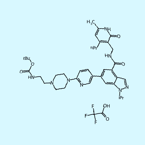 CCCc1cc(C)[nH]c(=O)c1CNC(=O)c1cc(-c2ccc(N3CCN(CCNC(=O)OC(C)(C)C)CC3)nc2)cc2c1cnn2C(C)C.O=C(O)C(F)(F)F